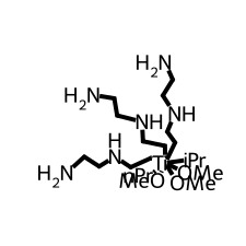 CC[CH2][Ti]([CH2]CNCCN)([CH2]CNCCN)([CH2]CNCCN)([O]C)([O]C)([O]C)[CH](C)C